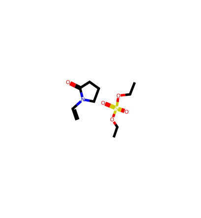 C=CN1CCCC1=O.CCOS(=O)(=O)OCC